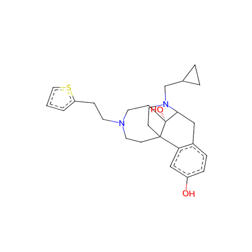 Oc1ccc2c(c1)C13CCN(CCc4cccs4)CC[C@@]1(O)C(C2)N(CC1CC1)CC3